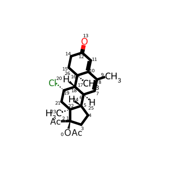 CC(=O)O[C@]1(C(C)=O)CC[C@H]2[C@@H]3C=C(C)C4=CC(=O)CC[C@]4(C)[C@H]3[C@@H](Cl)C[C@@]21C